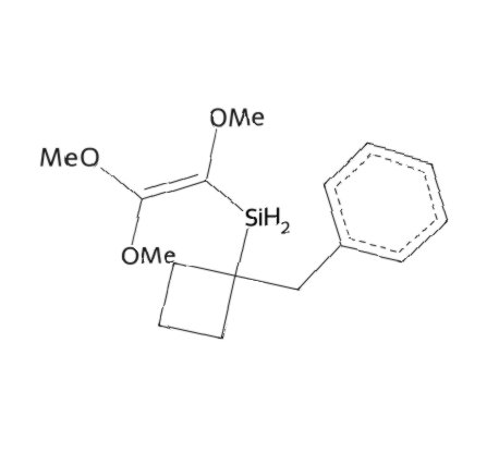 COC(OC)=C(OC)[SiH2]C1(Cc2ccccc2)CCC1